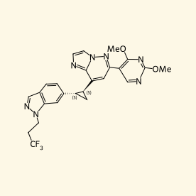 COc1ncc(-c2cc([C@H]3C[C@@H]3c3ccc4cnn(CCC(F)(F)F)c4c3)c3nccn3n2)c(OC)n1